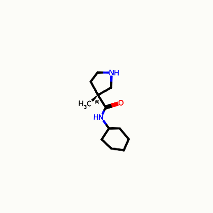 C[C@@]1(C(=O)NC2CCCCC2)CCNC1